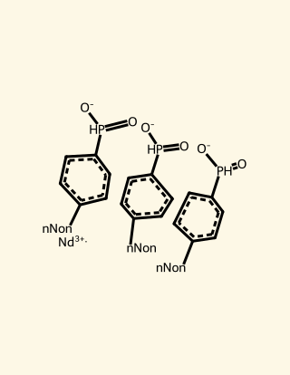 CCCCCCCCCc1ccc([PH](=O)[O-])cc1.CCCCCCCCCc1ccc([PH](=O)[O-])cc1.CCCCCCCCCc1ccc([PH](=O)[O-])cc1.[Nd+3]